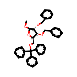 COC1O[C@H](COC(c2ccccc2)(c2ccccc2)c2ccccc2)[C@H](OCc2ccccc2)[C@H]1OCc1ccccc1